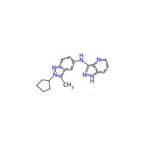 Cc1c2cc(Nc3n[nH]c4cccnc34)ccc2nn1C1CCCC1